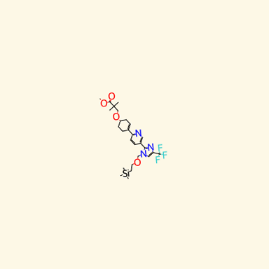 COC(=O)C(C)(C)COC1CC=C(c2ccc(-c3nc(C(F)(F)F)cn3COCC[Si](C)(C)C)cn2)CC1